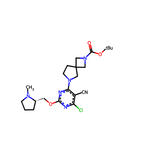 CN1CCC[C@H]1COc1nc(Cl)c(C#N)c(N2CCC3(CN(C(=O)OC(C)(C)C)C3)C2)n1